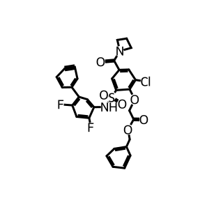 O=C(COc1c(Cl)cc(C(=O)N2CCC2)cc1S(=O)(=O)Nc1cc(-c2cc#ccc2)c(F)cc1F)OCc1ccccc1